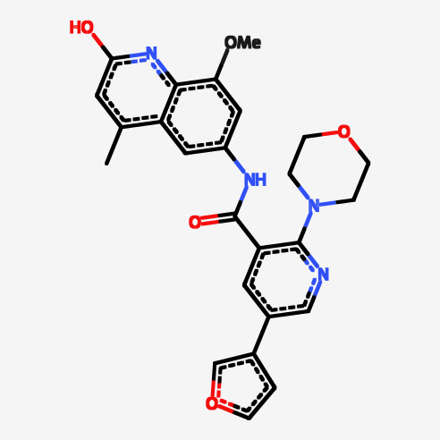 COc1cc(NC(=O)c2cc(-c3ccoc3)cnc2N2CCOCC2)cc2c(C)cc(O)nc12